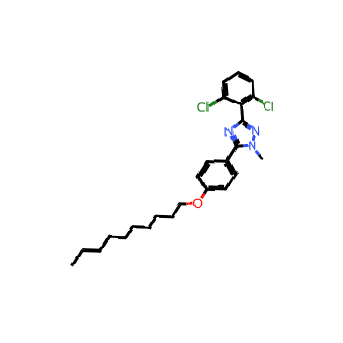 CCCCCCCCCCOc1ccc(-c2nc(-c3c(Cl)cccc3Cl)nn2C)cc1